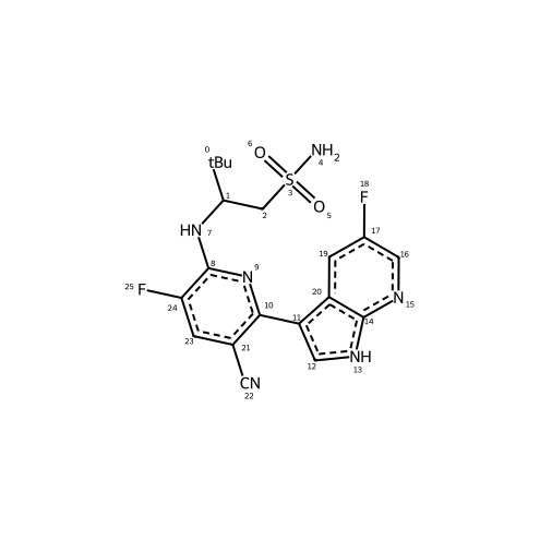 CC(C)(C)C(CS(N)(=O)=O)Nc1nc(-c2c[nH]c3ncc(F)cc23)c(C#N)cc1F